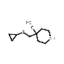 Cl.OC1(CSC2CC2)CCNCC1